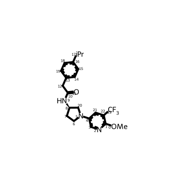 COc1ncc(N2CC[C@@H](NC(=O)Cc3ccc(C(C)C)cc3)C2)cc1C(F)(F)F